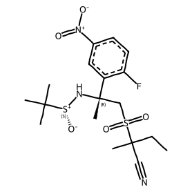 CCC(C)(C#N)S(=O)(=O)C[C@](C)(N[S@+]([O-])C(C)(C)C)c1cc([N+](=O)[O-])ccc1F